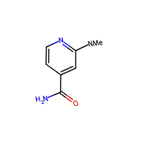 CNc1cc(C(N)=O)ccn1